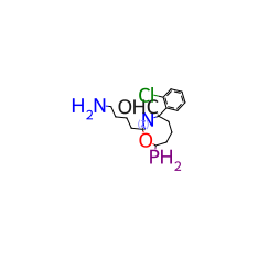 NCCCC/C1=N/C(C=O)(c2ccccc2Cl)CCCC(P)O1